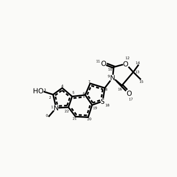 Cn1c(O)cc2c3cc(N4C(=O)OC(C)(C)C4=O)sc3ccc21